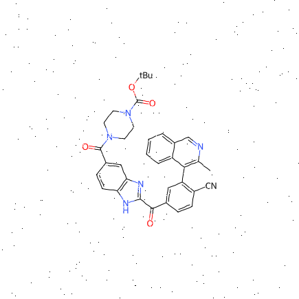 Cc1ncc2ccccc2c1-c1cc(C(=O)c2nc3cc(C(=O)N4CCN(C(=O)OC(C)(C)C)CC4)ccc3[nH]2)ccc1C#N